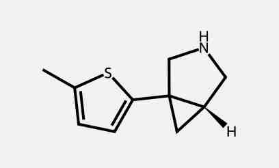 Cc1ccc(C23CNC[C@@H]2C3)s1